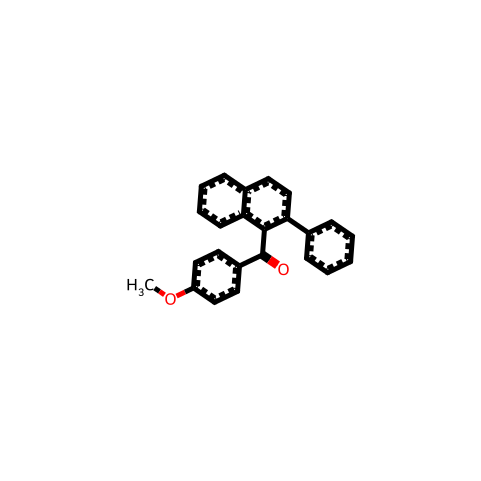 COc1ccc(C(=O)c2c(-c3ccccc3)ccc3ccccc23)cc1